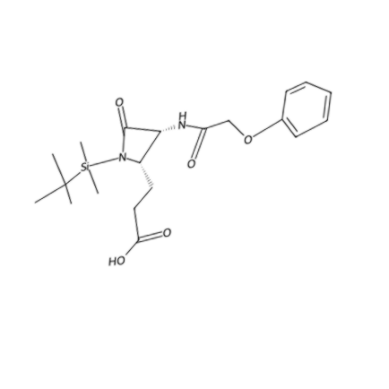 CC(C)(C)[Si](C)(C)N1C(=O)[C@H](NC(=O)COc2ccccc2)[C@@H]1CCC(=O)O